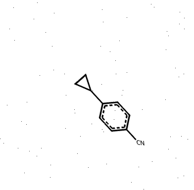 N#Cc1ccc([C]2CC2)cc1